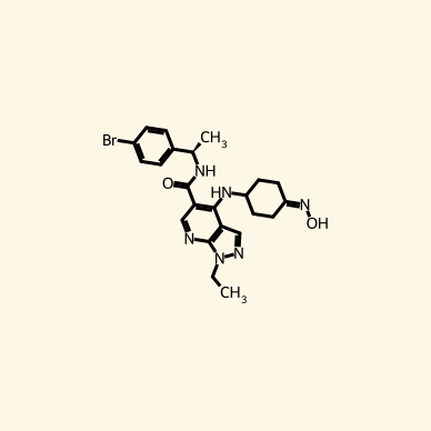 CCn1ncc2c(NC3CCC(=NO)CC3)c(C(=O)N[C@H](C)c3ccc(Br)cc3)cnc21